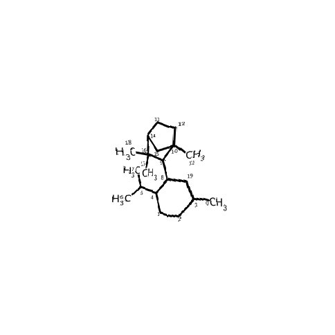 CC1CCC(C(C)C)C([C]2C3(C)CCC(C3)C2(C)C)C1